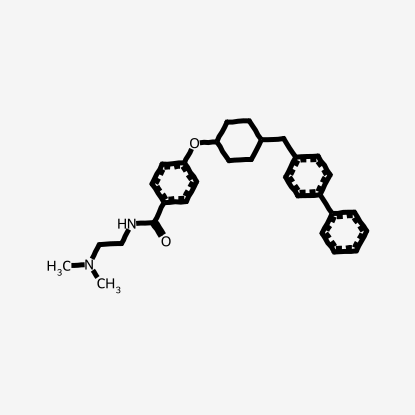 CN(C)CCNC(=O)c1ccc(OC2CCC(Cc3ccc(-c4ccccc4)cc3)CC2)cc1